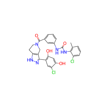 Cc1cccc(Cl)c1NC(=O)Nc1cccc(C(=O)N2CCc3[nH]nc(-c4cc(Cl)c(O)cc4O)c3C2)c1